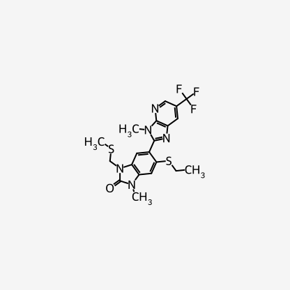 CCSc1cc2c(cc1-c1nc3cc(C(F)(F)F)cnc3n1C)n(CSC)c(=O)n2C